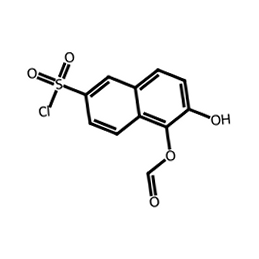 O=COc1c(O)ccc2cc(S(=O)(=O)Cl)ccc12